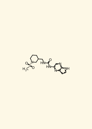 CS(=O)(=O)N1CCCC(CNC(=O)Nc2cnc3[nH]ccc3n2)C1